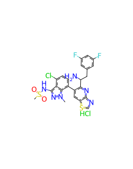 Cl.Cn1nc(NS(C)(=O)=O)c2c(Cl)ccc(-c3cc4scnc4nc3C(N)Cc3cc(F)cc(F)c3)c21